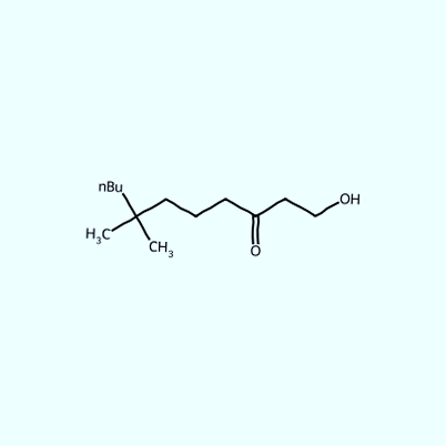 CCCCC(C)(C)CCCC(=O)CCO